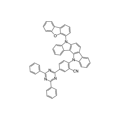 N#Cc1cc(-c2nc(-c3ccccc3)nc(-c3ccccc3)n2)ccc1-n1c2ccccc2c2ccc3c(c4ccccc4n3-c3cccc4c3oc3ccccc34)c21